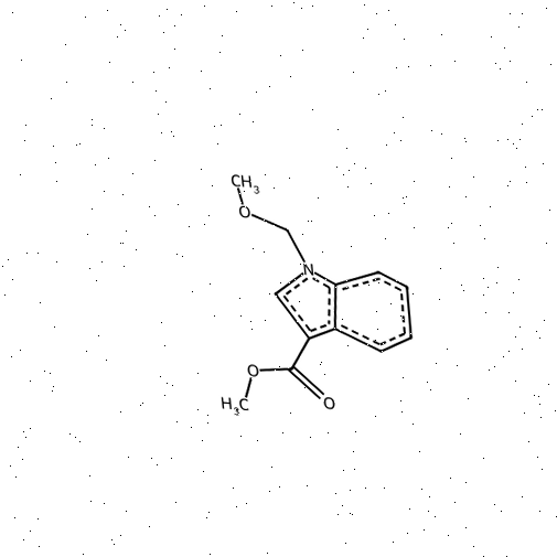 COCn1cc(C(=O)OC)c2ccccc21